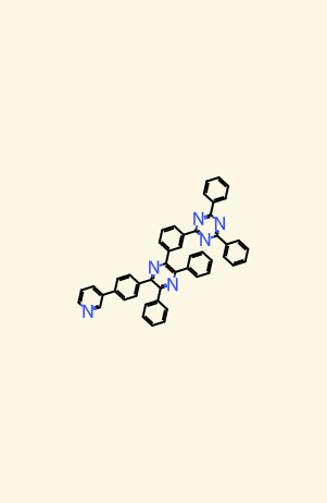 c1ccc(-c2nc(-c3ccccc3)nc(-c3cccc(-c4nc(-c5ccc(-c6cccnc6)cc5)c(-c5ccccc5)nc4-c4ccccc4)c3)n2)cc1